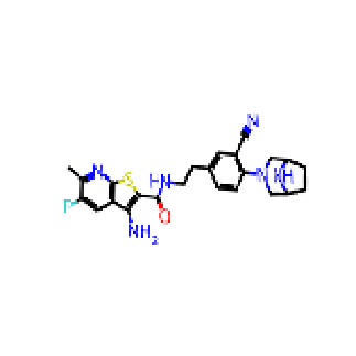 Cc1nc2sc(C(=O)NCCc3ccc(N4CC5CCC(C4)N5)c(C#N)c3)c(N)c2cc1F